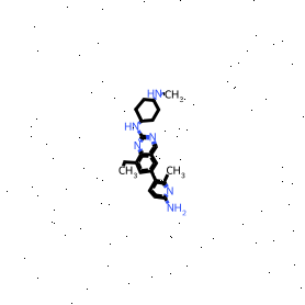 CCc1cc(-c2ccc(N)nc2C)cc2cnc(NC3CCC(NC)CC3)nc12